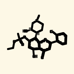 CCOP(C)(=O)Oc1cc(O)c2c(=O)cc(-c3ccccc3Cl)oc2c1[C@H]1CCN(C)C[C@H]1O